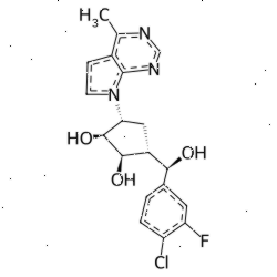 Cc1ncnc2c1ccn2[C@@H]1C[C@H]([C@@H](O)c2ccc(Cl)c(F)c2)[C@@H](O)[C@H]1O